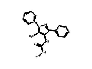 CC(C)NC(=O)Nc1c(-c2ccccc2)nn(-c2ccccc2)c1N